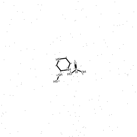 C1CNCCN1.O=[PH](O)O.SS